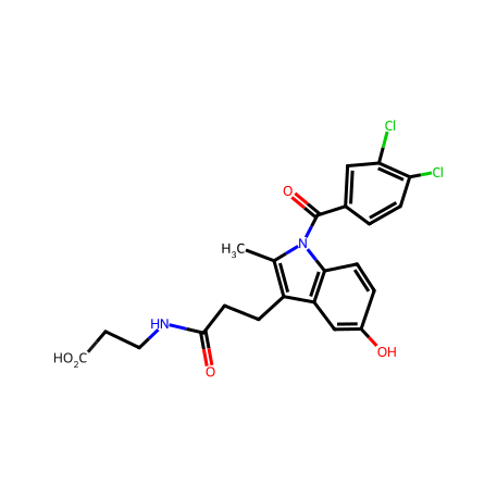 Cc1c(CCC(=O)NCCC(=O)O)c2cc(O)ccc2n1C(=O)c1ccc(Cl)c(Cl)c1